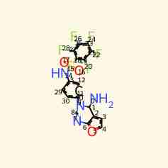 NC1c2ccoc2N=CN1c1ccc(NS(=O)(=O)c2c(F)c(F)c(F)c(F)c2F)cc1